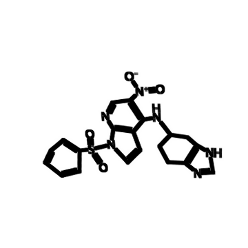 O=[N+]([O-])c1cnc2c(ccn2S(=O)(=O)c2ccccc2)c1NC1CCc2nc[nH]c2C1